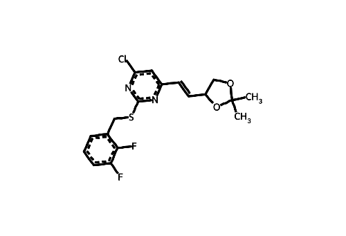 CC1(C)OCC(C=Cc2cc(Cl)nc(SCc3cccc(F)c3F)n2)O1